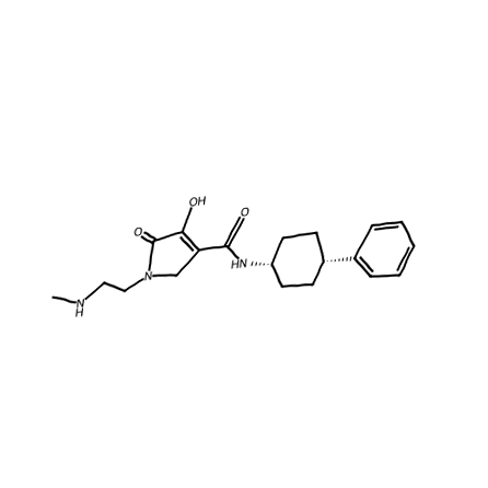 CNCCN1CC(C(=O)N[C@H]2CC[C@@H](c3ccccc3)CC2)=C(O)C1=O